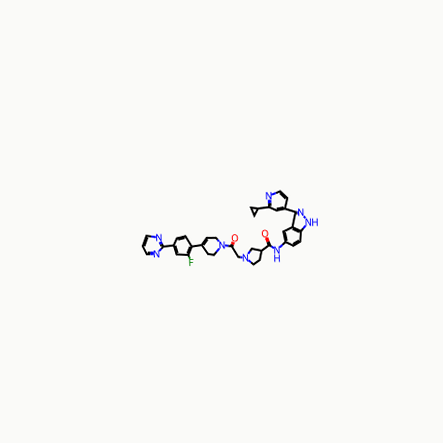 O=C(Nc1ccc2[nH]nc(-c3ccnc(C4CC4)c3)c2c1)C1CCN(CC(=O)N2CC=C(c3ccc(-c4ncccn4)cc3F)CC2)C1